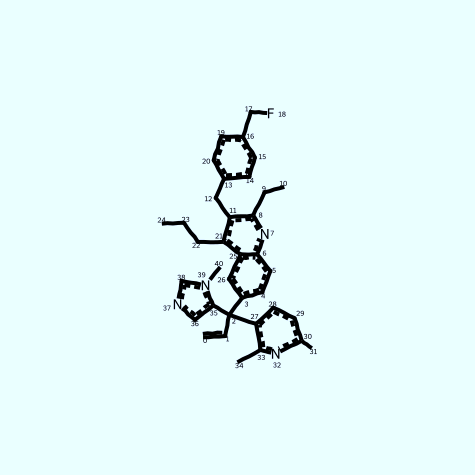 C=CC(c1ccc2nc(CC)c(Cc3ccc(CF)cc3)c(CCC)c2c1)(c1ccc(C)nc1C)c1cncn1C